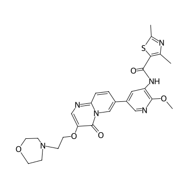 COc1ncc(-c2ccc3ncc(OCCN4CCOCC4)c(=O)n3c2)cc1NC(=O)c1sc(C)nc1C